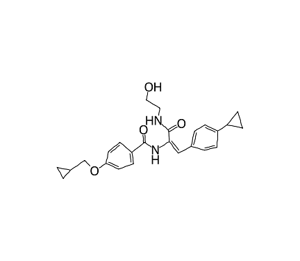 O=C(NCCO)/C(=C\c1ccc(C2CC2)cc1)NC(=O)c1ccc(OCC2CC2)cc1